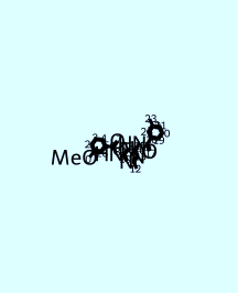 COc1cccc(C(=O)Nc2nc(C)nc(NC(=O)c3cccc(C)c3)n2)c1